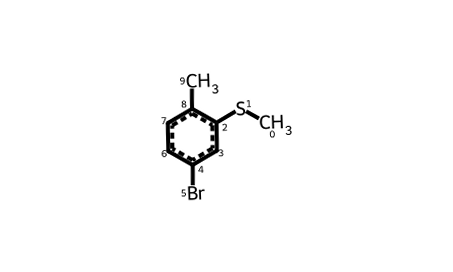 CSc1cc(Br)ccc1C